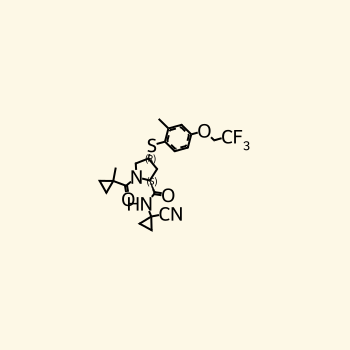 Cc1cc(OCC(F)(F)F)ccc1S[C@@H]1C[C@@H](C(=O)NC2(C#N)CC2)N(C(=O)C2(C)CC2)C1